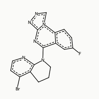 Fc1ccc2c(c1)c(N1CCCc3c(Br)ccnc31)nc1nncn12